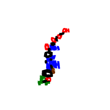 Cn1c(Nc2nc3ccc(OC(F)(F)F)cc3s2)nc2cc(C(=O)NCCOCCOCCO)ccc21